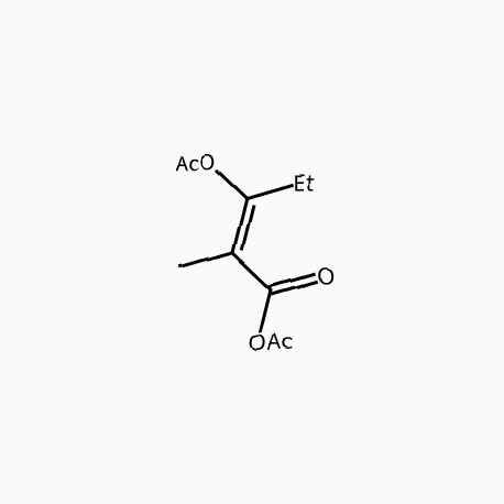 CCC(OC(C)=O)=C(C)C(=O)OC(C)=O